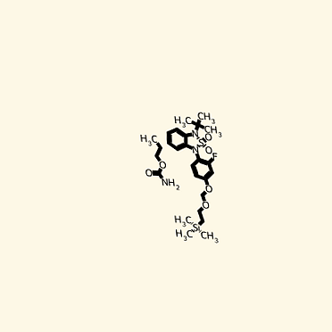 CC(C)(C)N1c2ccccc2N(c2ccc(OCOCC[Si](C)(C)C)cc2F)S1(=O)=O.CCCOC(N)=O